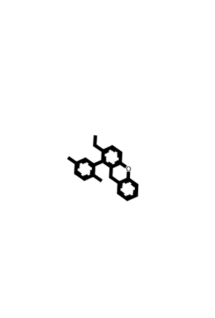 CCc1ccc2c(c1-c1cc(C)ccc1C)Cc1ccccc1O2